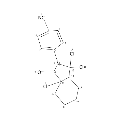 N#Cc1ccc(N2C(=O)C3(Cl)CCCCC3C2(Cl)Cl)cc1